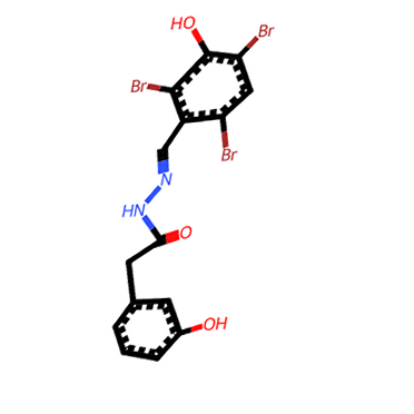 O=C(Cc1cccc(O)c1)N/N=C/c1c(Br)cc(Br)c(O)c1Br